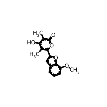 COc1cccc2cc(-c3oc(=O)c(C)c(O)c3C)oc12